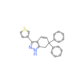 C1=CC(c2ccccc2)(c2ccccc2)Cc2[nH]nc(-c3ccsc3)c21